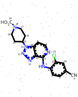 N#Cc1ccc(Nc2nccc3c2nnn3C2CCN(C(=O)O)CC2)c(Cl)c1